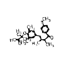 CSc1ccc(C(=O)C(C)C(C)Cc2cc(C)c(OC(C)(C)C(=O)O)c(C)c2)cc1